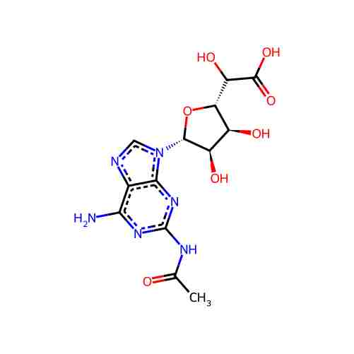 CC(=O)Nc1nc(N)c2ncn([C@@H]3O[C@H](C(O)C(=O)O)[C@@H](O)[C@H]3O)c2n1